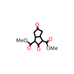 COC(=O)C1C(=O)C(C(=O)OC)C2CC(=O)CC12